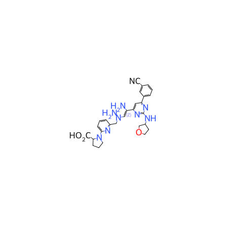 N#Cc1cccc(-c2cc(/C(N)=C/N(N)Cc3cccc(N4CCCC4C(=O)O)n3)nc(NC3CCOC3)n2)c1